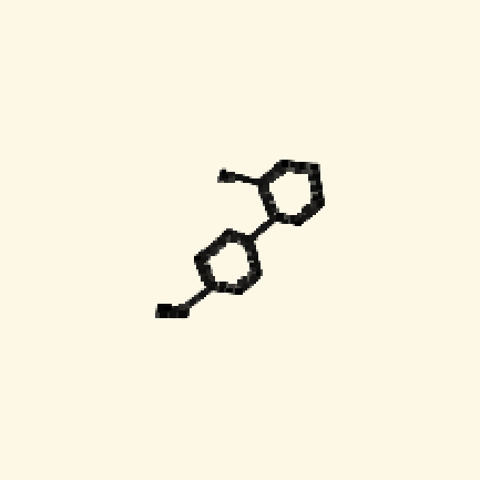 COc1ccc(-c2ccccc2C(C)=O)cc1